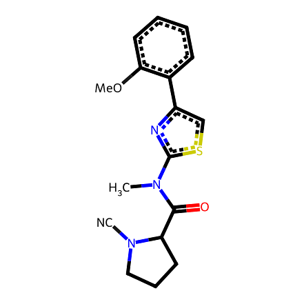 COc1ccccc1-c1csc(N(C)C(=O)C2CCCN2C#N)n1